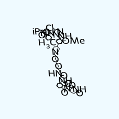 COc1cc(C2CCN(CCOCCOCCNC(=O)CNc3cccc4c3C(=O)N(C3CCC(=O)NC3=O)C4=O)CC2)c(C)cc1Nc1ncc(Cl)c(Nc2ccccc2S(=O)(=O)C(C)C)n1